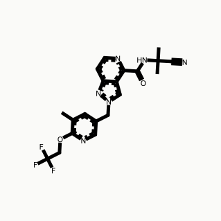 Cc1cc(Cn2cc3c(C(=O)NC(C)(C)C#N)nccc3n2)cnc1OCC(F)(F)F